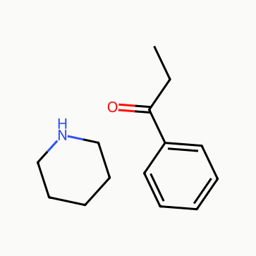 C1CCNCC1.CCC(=O)c1ccccc1